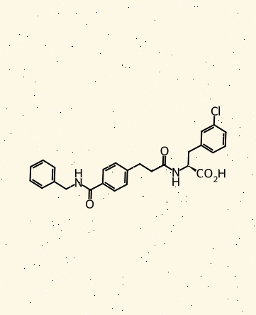 O=C(CCc1ccc(C(=O)NCc2ccccc2)cc1)N[C@@H](Cc1cccc(Cl)c1)C(=O)O